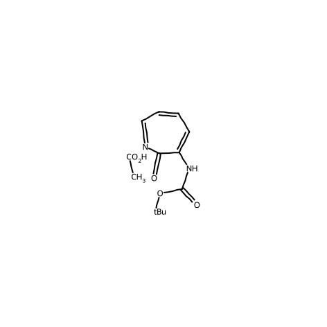 CC(=O)O.CC(C)(C)OC(=O)Nc1ccccnc1=O